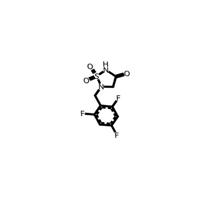 O=C1CN(Cc2c(F)cc(F)cc2F)S(=O)(=O)N1